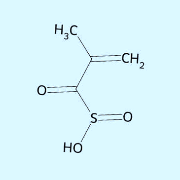 C=C(C)C(=O)S(=O)O